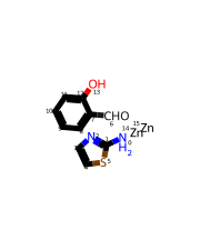 Nc1nccs1.O=Cc1ccccc1O.[Zn].[Zn]